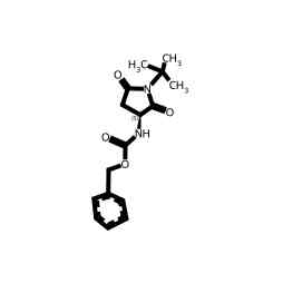 CC(C)(C)N1C(=O)C[C@H](NC(=O)OCc2ccccc2)C1=O